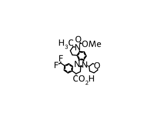 COC(=O)N1c2ccc3c(nc(C[C@H](C(=O)O)c4ccc(C(F)F)cc4)n3[C@@H]3CCCOC3)c2CC[C@@H]1C